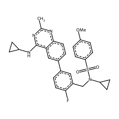 COc1ccc(S(=O)(=O)N(Cc2cc(-c3ccc4nc(C)nc(NC5CC5)c4c3)ccc2F)C2CC2)cc1